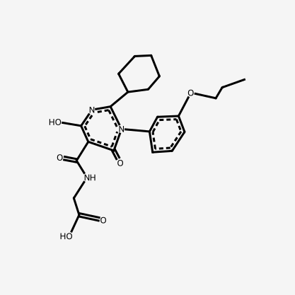 CCCOc1cccc(-n2c(C3CCCCC3)nc(O)c(C(=O)NCC(=O)O)c2=O)c1